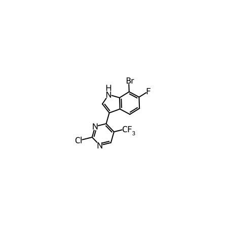 Fc1ccc2c(-c3nc(Cl)ncc3C(F)(F)F)c[nH]c2c1Br